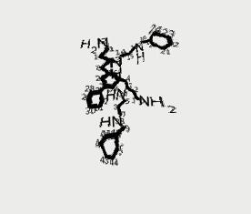 NCCC(Cc1cc(CC(CCN)NCCCNCC2CCCCC2)cc(-c2ccccc2)c1)NCCCNCC1CCCCC1